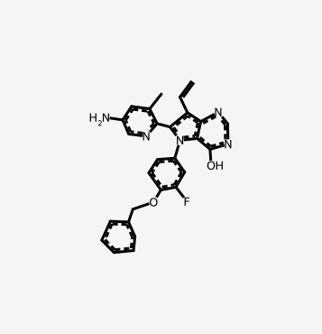 C=Cc1c(-c2ncc(N)cc2C)n(-c2ccc(OCc3ccccc3)c(F)c2)c2c(O)ncnc12